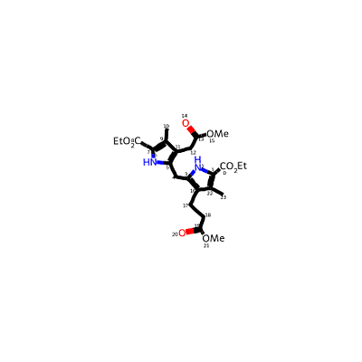 CCOC(=O)c1[nH]c(Cc2[nH]c(C(=O)OCC)c(C)c2CC(=O)OC)c(CCC(=O)OC)c1C